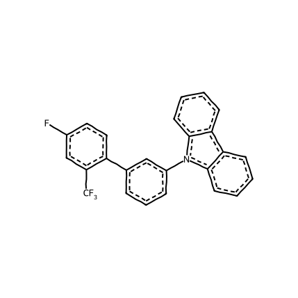 Fc1ccc(-c2cccc(-n3c4ccccc4c4ccccc43)c2)c(C(F)(F)F)c1